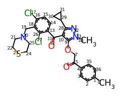 Cc1ccc(C(=O)COc2c(C(=O)c3ccc(Cl)c(CN4CCSCC4)c3Cl)c(C3CC3)nn2C)cc1